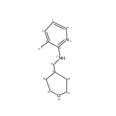 Ic1cccnc1NCC1CCOCC1